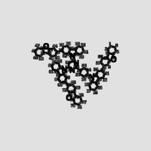 c1ccc2c(c1)oc1cc(-c3ccc4c5ccccc5n(-c5ccc(-c6nc(-n7c8ccccc8c8ccc(-c9ccc%10c(c9)oc9ccccc9%10)cc87)cc(-n7c8ccccc8c8ccc(-c9ccc%10c(c9)oc9ccccc9%10)cc87)n6)cc5)c4c3)ccc12